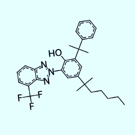 CCCCCC(C)(C)c1cc(-n2nc3cccc(C(F)(F)F)c3n2)c(O)c(C(C)(C)c2ccccc2)c1